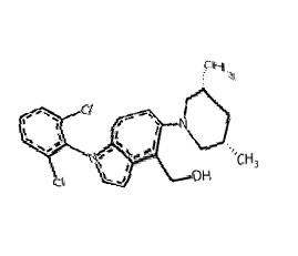 C[C@@H]1C[C@H](C)CN(c2ccc3c(ccn3-c3c(Cl)cccc3Cl)c2CO)C1